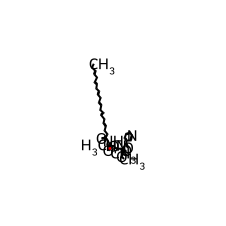 CCC=CCC=CCC=CCC=CCC=CCC=CCCC(=O)N[C@@H](C)C(=O)O[C@H](C)[C@H](NC(=O)c1cccnc1)C(=O)OC